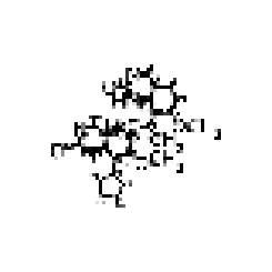 COc1ccc2cnc(=O)[nH]c2c1C(C)C.COc1ccc2cnc(Cl)nc2c1C1CCCC1